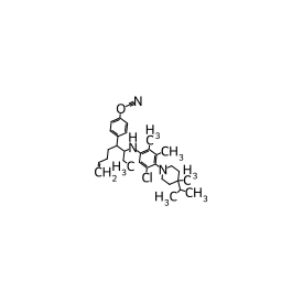 C=CCCC(c1ccc(OC#N)cc1)C(CC)Nc1cc(Cl)c(N2CCC(C)(C(C)C)CC2)c(C)c1C